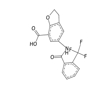 O=C(Nc1cc2c(c(C(=O)O)c1)OCC2)c1ccccc1C(F)(F)F